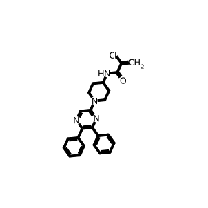 C=C(Cl)C(=O)NC1CCN(c2cnc(-c3ccccc3)c(-c3ccccc3)n2)CC1